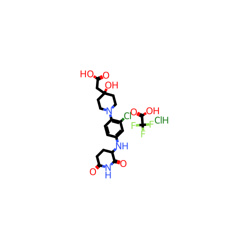 Cl.O=C(O)C(F)(F)F.O=C(O)CC1(O)CCN(c2ccc(NC3CCC(=O)NC3=O)cc2Cl)CC1